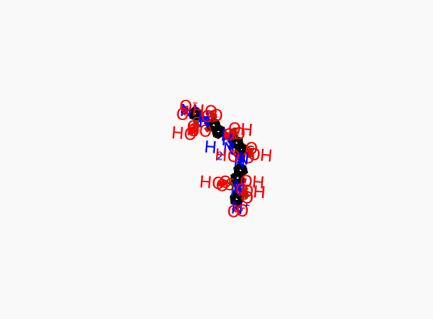 Nc1c(N=Nc2ccc3c(O)c(N=Nc4ccc([N+](=O)[O-])cc4SOOO)c(S(=O)(=O)O)cc3c2)c(S(=O)(=O)O)cc2cc(S(=O)(=O)O)c(N=Nc3ccc4c(O)c(N=Nc5ccc([N+](=O)[O-])cc5S(=O)(=O)O)c(SOOO)cc4c3)c(O)c12